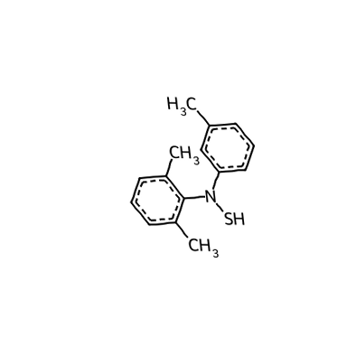 Cc1cccc(N(S)c2c(C)cccc2C)c1